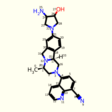 C[C@@H]1CN(c2ccc(C#N)c3ncccc23)C[C@@H]2c3ccc(N4CC(N)C(O)C4)cc3CN12